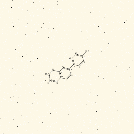 Fc1ccc(-c2ccc3c(c2)CON=C3)cc1